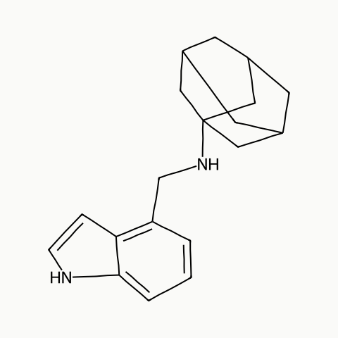 c1cc(CNC23CC4CC(CC(C4)C2)C3)c2cc[nH]c2c1